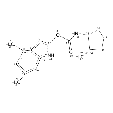 Cc1cc(C)c2cc(OC(=O)N[C@@H]3CCC[C@@H]3C)[nH]c2c1